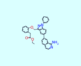 CCOC(=O)Cc1ccccc1OCc1nn(-c2ccccc2)c2ccc(-c3ccc4ccnc(N)c4c3)cc12